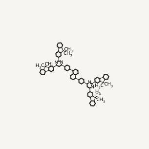 CC1(C)c2ccccc2-c2ccc(-c3cc(-c4ccc(-c5cccc6c(-c7ccc(-c8cc(-c9ccc%10c(c9)C(C)(C)c9ccccc9-%10)nc(-c9ccc%10c(c9)C(C)(C)c9ccccc9-%10)n8)cc7)cccc56)cc4)nc(-c4ccc5c(c4)C(C)(C)c4ccccc4-5)n3)cc21